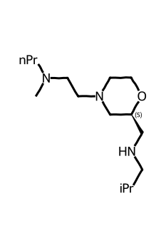 CCCN(C)CCN1CCO[C@@H](CNCC(C)C)C1